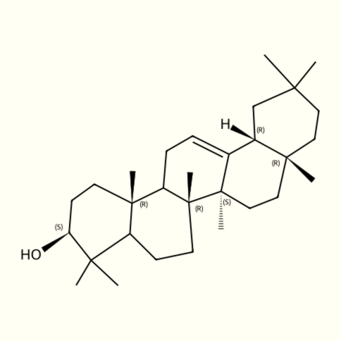 CC1(C)CC[C@]2(C)CC[C@]3(C)C(=CCC4[C@@]5(C)CC[C@H](O)C(C)(C)C5CC[C@]43C)[C@@H]2C1